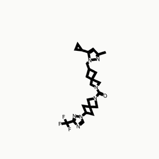 Cc1cc(C2CC2)n(CC2CC3(C2)CN(C(=O)N2CC4(CC(n5cnc(C(F)(F)F)n5)C4)C2)C3)n1